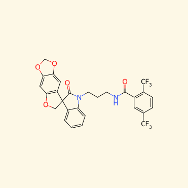 O=C(NCCCN1C(=O)C2(COc3cc4c(cc32)OCO4)c2ccccc21)c1cc(C(F)(F)F)ccc1C(F)(F)F